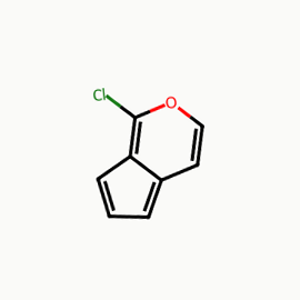 Clc1occc2cccc1-2